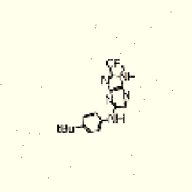 CC(C)(C)c1ccc(Nc2cnc3[nH]c(C(F)(F)F)nc3n2)cc1